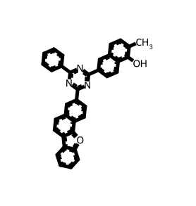 Cc1ccc2cc(-c3nc(-c4ccccc4)nc(-c4ccc5c(ccc6c7ccccc7oc56)c4)n3)ccc2c1O